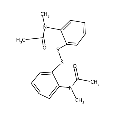 CC(=O)N(C)c1ccccc1SSc1ccccc1N(C)C(C)=O